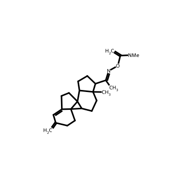 C=C1C=C2CCC34C5CCC(/C(C)=N/OC(=C)NC)C5(C)CCC3C24CC1